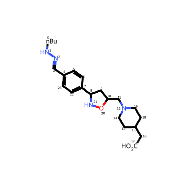 CCCCNN=Cc1ccc(C2CC(CN3CCC(CC(=O)O)CC3)ON2)cc1